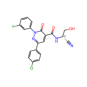 N#C[C@@H](CO)NC(=O)c1cc(-c2ccc(Cl)cc2)nn(-c2cccc(F)c2)c1=O